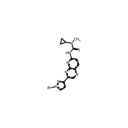 CC(C)n1ccc(-c2cnc3ccc(NC(=S)N(C)C4CC4)nc3n2)n1